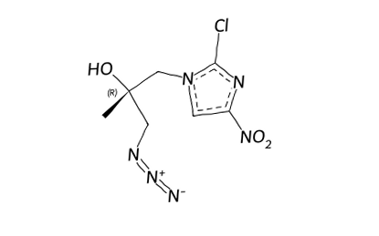 C[C@](O)(CN=[N+]=[N-])Cn1cc([N+](=O)[O-])nc1Cl